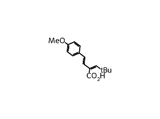 COc1ccc(C=CC(=CC(C)(C)C)C(=O)O)cc1